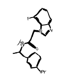 CC(C)c1ccc(C(C)NC(=O)Cn2cnc3cccc(F)c32)cc1